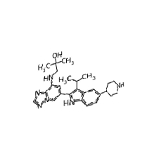 CC(C)c1c(-c2cc(NCC(C)(C)O)c3ncnn3c2)[nH]c2ccc(C3CCNCC3)cc12